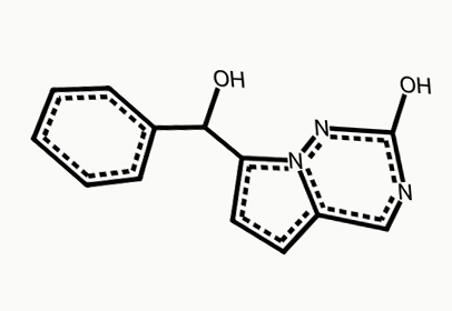 Oc1ncc2ccc(C(O)c3ccccc3)n2n1